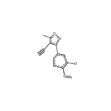 C#Cc1c(-c2ccc(OC)c(Cl)c2)noc1C